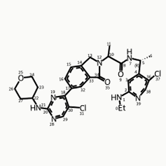 CCNc1cc([C@@H](C)NC(=O)C(C)N2Cc3ccc(-c4nc(NC5CCOCC5)ncc4Cl)cc3C2=O)c(Cl)cn1